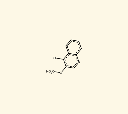 O=C(O)Oc1cnc2ccccc2c1Cl